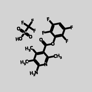 Cc1nc(N)c(C)c(C)c1C(=O)Oc1c(F)c(F)cc(F)c1F.O=S(=O)(O)C(F)(F)F